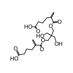 C=C(CCCC(=O)O)C(=O)OCC(CO)(CO)COC(=O)C(=C)CCCC(=O)O